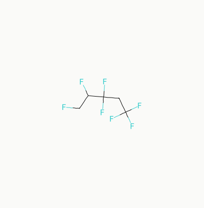 FCC(F)C(F)(F)CC(F)(F)F